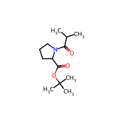 CC(C)C(=O)N1CCCC1C(=O)OC(C)(C)C